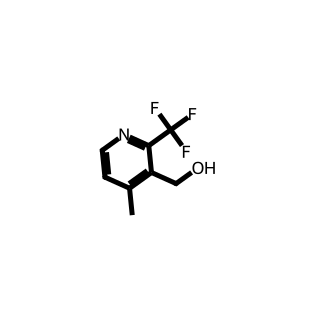 Cc1ccnc(C(F)(F)F)c1CO